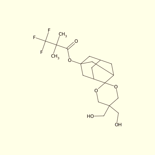 CC(C)(C(=O)OC12CC3CC(C1)C1(OCC(CO)(CO)CO1)C(C3)C2)C(F)(F)F